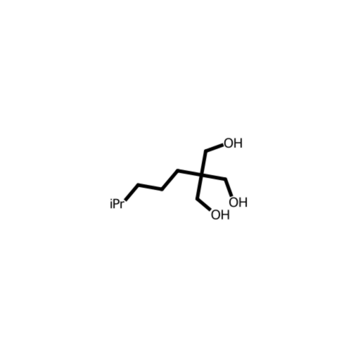 CC(C)CCCC(CO)(CO)CO